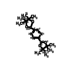 CC1(C)OB(c2nnc(B3OC(C)(C)C(C)(C)O3)nn2)OC1(C)C